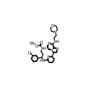 CC(C)(C)OC(=O)NCCC(Nc1cccc(-c2cnc3c(NCCN4CCOCC4)nccn23)n1)c1cccc(Cl)c1